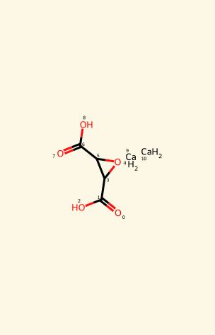 O=C(O)C1OC1C(=O)O.[CaH2].[CaH2]